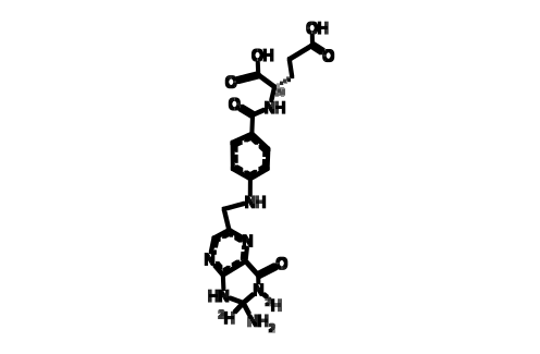 [2H]N1C(=O)c2nc(CNc3ccc(C(=O)N[C@@H](CCC(=O)O)C(=O)O)cc3)cnc2NC1([2H])N